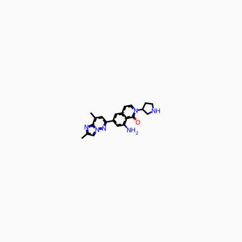 Cc1cn2nc(-c3cc(N)c4c(=O)n(C5CCNC5)ccc4c3)cc(C)c2n1